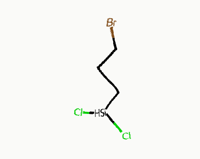 Cl[SiH](Cl)CCCBr